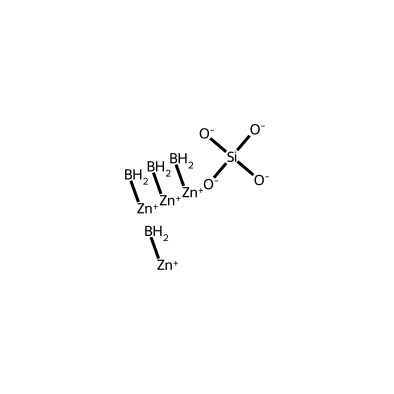 [BH2][Zn+].[BH2][Zn+].[BH2][Zn+].[BH2][Zn+].[O-][Si]([O-])([O-])[O-]